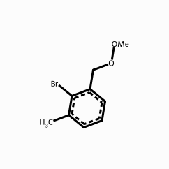 COOCc1cccc(C)c1Br